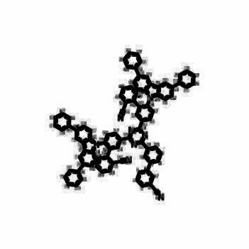 N#Cc1cccc(-c2cccc(-c3nc(-c4ccc(-n5c6ccc(-c7ccccc7)cc6c6cc(-c7ccccc7)ccc65)c(-c5ccccc5C#N)c4)nc(-c4ccc(-n5c6ccc(-c7ccccc7)cc6c6cc(-c7ccccc7)ccc65)c(-c5ccccc5C#N)c4)n3)c2)c1